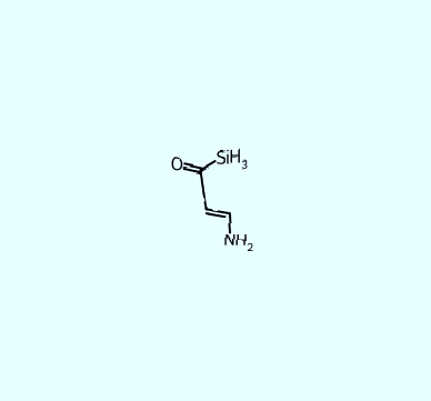 NC=CC(=O)[SiH3]